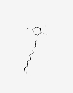 NCCCCCCOCCO[C@@H]1O[C@H](CO)[C@H](O)[C@H](O)[C@H]1O